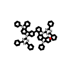 c1ccc(-c2nc(-c3ccccc3)nc(-n3c4ccc(-c5cccc6c5c5ccc7c(c8ccccc8n7-c7ccccc7)c5n6-c5nc(-c6ccccc6)nc(-c6ccccc6)n5)cc4c4c5c6ccccc6n(-c6ccccc6)c5ccc43)n2)cc1